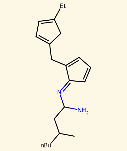 CCCCC(C)CC(N)/N=C1\C=CC=C1CC1=CC=C(CC)C1